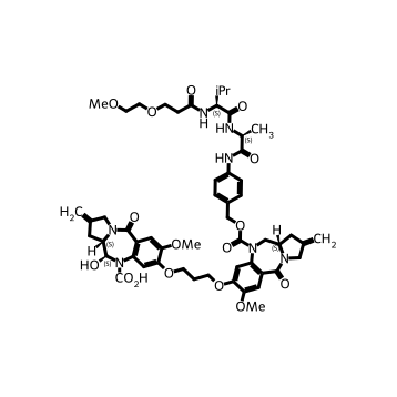 C=C1C[C@H]2CN(C(=O)OCc3ccc(NC(=O)[C@H](C)NC(=O)[C@@H](NC(=O)CCOCCOC)C(C)C)cc3)c3cc(OCCCOc4cc5c(cc4OC)C(=O)N4CC(=C)C[C@H]4[C@H](O)N5C(=O)O)c(OC)cc3C(=O)N2C1